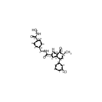 Cn1cc(-c2cccc(Cl)c2)c2cc(C(=O)NCc3ccc(C(=O)NO)cc3)[nH]c2c1=O